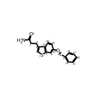 NC(=O)CCc1csc2cc(OCc3ccccc3)ccc12